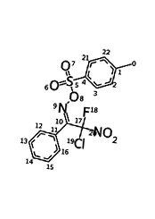 Cc1ccc(S(=O)(=O)ON=C(c2ccccc2)C(F)(Cl)[N+](=O)[O-])cc1